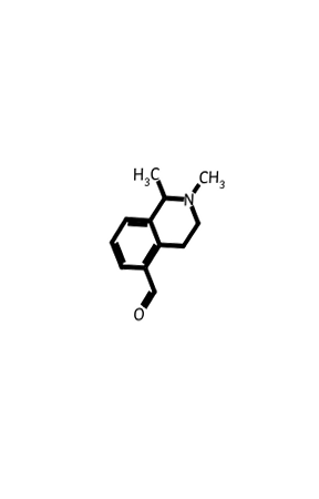 CC1c2cccc(C=O)c2CCN1C